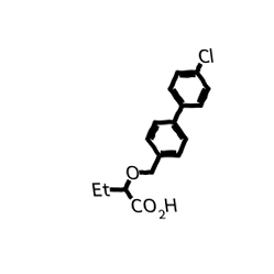 CCC(OCc1ccc(-c2ccc(Cl)cc2)cc1)C(=O)O